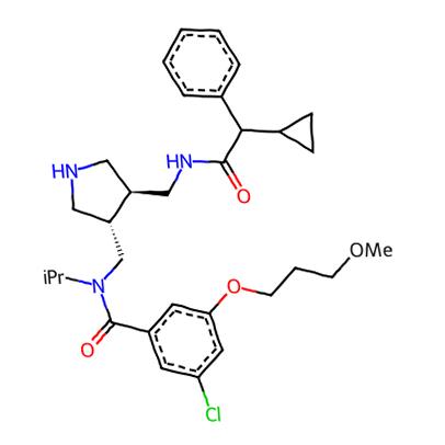 COCCCOc1cc(Cl)cc(C(=O)N(C[C@@H]2CNC[C@H]2CNC(=O)C(c2ccccc2)C2CC2)C(C)C)c1